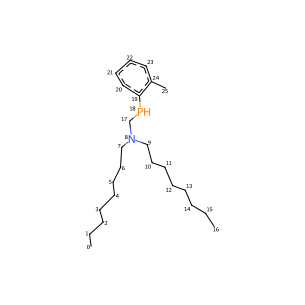 CCCCCCCCN(CCCCCCCC)CPc1ccccc1C